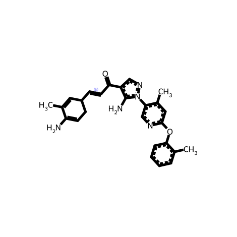 CC1=CC(/C=C/C(=O)c2cnn(-c3cnc(Oc4ccccc4C)cc3C)c2N)CC=C1N